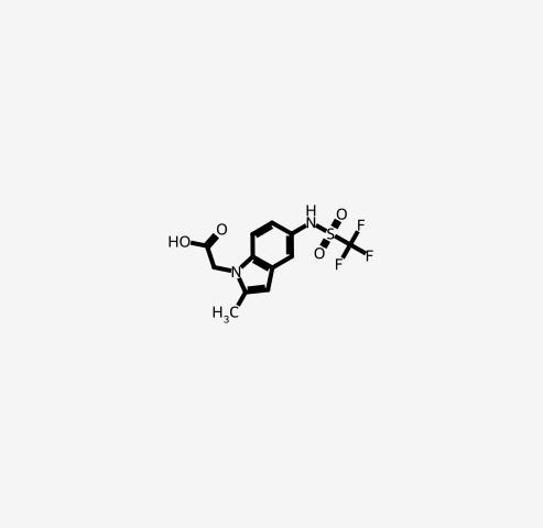 Cc1cc2cc(NS(=O)(=O)C(F)(F)F)ccc2n1CC(=O)O